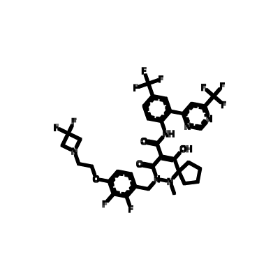 CN1N(Cc2ccc(OCCN3CC(F)(F)C3)c(F)c2F)C(=O)C(C(=O)Nc2ccc(C(F)(F)F)cc2-c2cc(C(F)(F)F)ncn2)=C(O)C12CCCC2